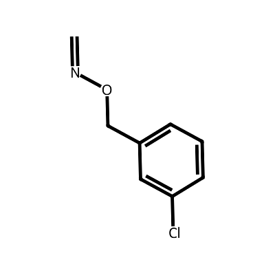 C=NOCc1cccc(Cl)c1